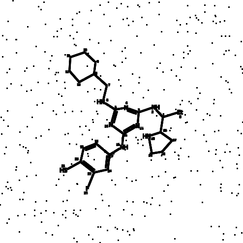 CCC(Nc1nc(NCC2CCCCC2)nc(Nc2ccc(S)c(F)c2)n1)C1CCCN1